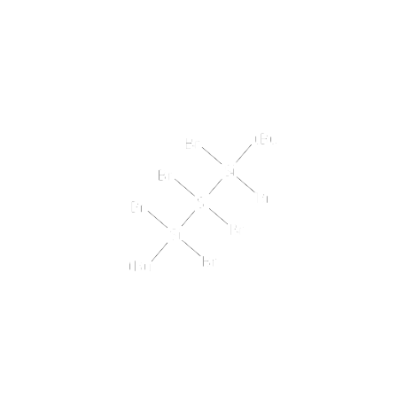 CC(C)(C)[Si](Br)(Br)[Si](Br)(Br)[Si](Br)(Br)C(C)(C)C